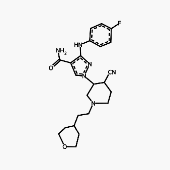 N#CC1CCN(CCC2CCOCC2)CC1n1cc(C(N)=O)c(Nc2ccc(F)cc2)n1